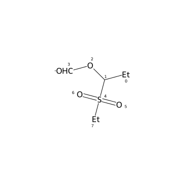 CCC(O[C]=O)S(=O)(=O)CC